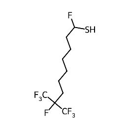 FC(S)CCCCCCC(F)(C(F)(F)F)C(F)(F)F